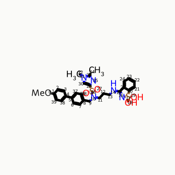 COc1ccc(-c2ccc(CN(CCCNC3=NS(O)(O)c4ccccc43)S(=O)(=O)c3cn(C)c(C)n3)cc2)cc1